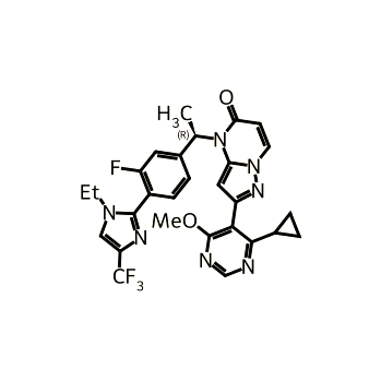 CCn1cc(C(F)(F)F)nc1-c1ccc([C@@H](C)n2c(=O)ccn3nc(-c4c(OC)ncnc4C4CC4)cc23)cc1F